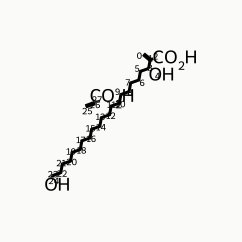 C=C(C(=O)O)C(O)CCCCCCCCCCCCCCCCCCCO.C=CC(=O)O